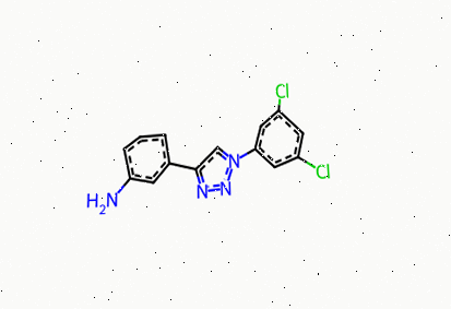 Nc1cccc(-c2cn(-c3cc(Cl)cc(Cl)c3)nn2)c1